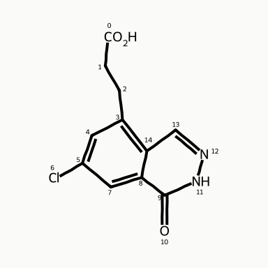 O=C(O)CCc1cc(Cl)cc2c(=O)[nH]ncc12